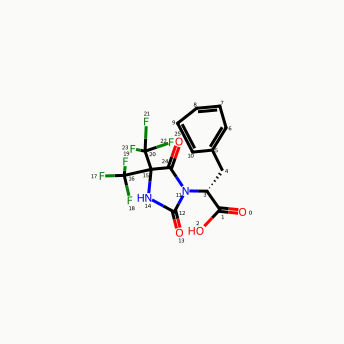 O=C(O)[C@@H](Cc1ccccc1)N1C(=O)NC(C(F)(F)F)(C(F)(F)F)C1=O